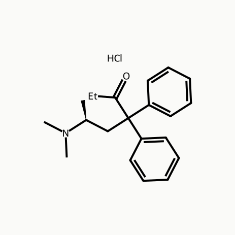 CCC(=O)C(C[C@H](C)N(C)C)(c1ccccc1)c1ccccc1.Cl